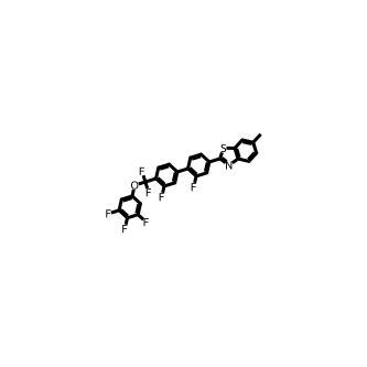 Cc1ccc2nc(-c3ccc(-c4ccc(C(F)(F)Oc5cc(F)c(F)c(F)c5)c(F)c4)c(F)c3)sc2c1